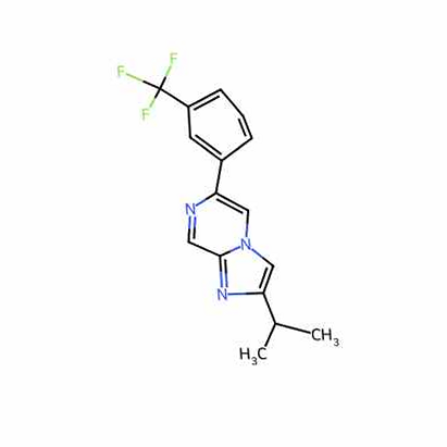 CC(C)c1cn2cc(-c3cccc(C(F)(F)F)c3)ncc2n1